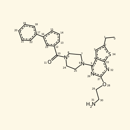 CCc1cc2c(N3CCN(C(=O)c4cccc(-c5ccccc5)c4)CC3)nc(OCCN)nc2s1